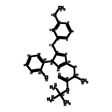 COc1cccc(Sc2cc(CN(C)C(=O)OC(C)(C)C)nn2-c2ccccc2Cl)n1